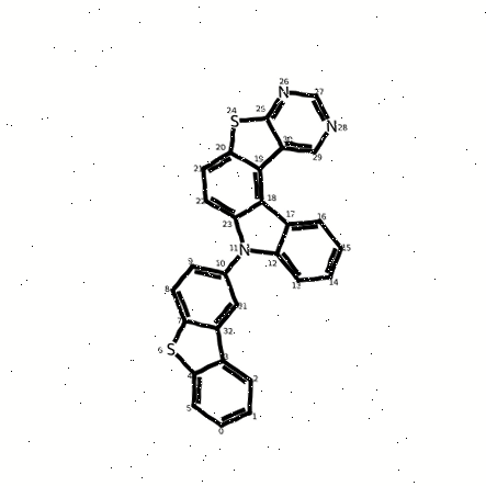 c1ccc2c(c1)sc1ccc(-n3c4ccccc4c4c5c(ccc43)sc3ncncc35)cc12